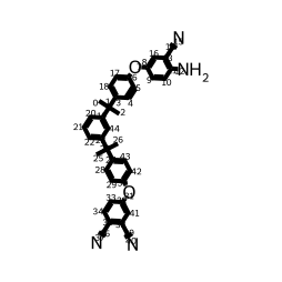 CC(C)(c1c#cc(Oc2ccc(N)c(C#N)c2)cc1)c1cccc(C(C)(C)c2ccc(Oc3ccc(C#N)c(C#N)c3)cc2)c1